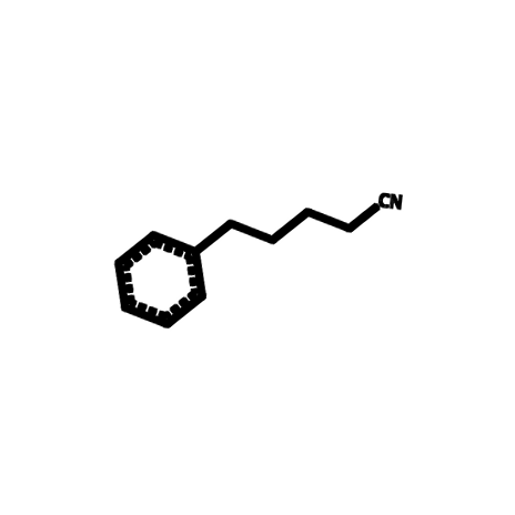 N#CCCCCc1ccccc1